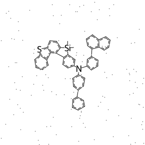 C[Si]1(C)c2cc(N(c3ccc(-c4ccccc4)cc3)c3cccc(-c4cccc5ccccc45)c3)ccc2-c2c1ccc1sc3ccccc3c21